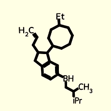 C=CCC1Cc2ccc(BCC(C)C(C)C)cc2C1C1CCCCC(CC)CC1